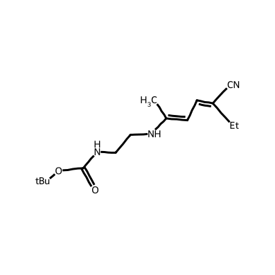 CC/C(C#N)=C\C=C(/C)NCCNC(=O)OC(C)(C)C